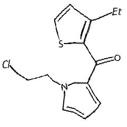 CCc1ccsc1C(=O)c1cccn1CCCl